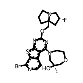 C[C@@]1(O)COCCN(c2nc(OC[C@@]34CCCN3C[C@H](F)C4)nc3sc4c(Br)nccc4c23)C1